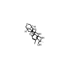 C[C@H](CO)NC(=O)Nc1nc2c(s1)[C@@H]1COC[C@H](C2)N1c1nc2cc(F)c(F)cc2o1